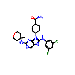 CC1(Nc2ncc3nc(Nc4cc(F)cc(Cl)c4)n([C@H]4CC[C@H](C(N)=O)CC4)c3n2)CCOCC1